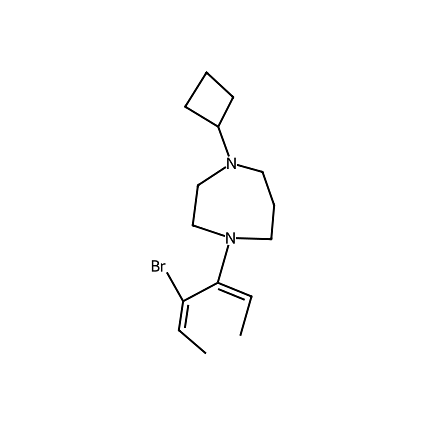 C/C=C(Br)\C(=C/C)N1CCCN(C2CCC2)CC1